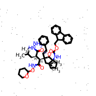 CC(C)C[C@@H](C(=O)NN)[C@H](C(=O)NOC1CCCCO1)C(/C=C/c1ccccc1)(CC(C)C)C(=O)C1(NC(=O)OCC2c3ccccc3-c3ccccc32)CCCC1